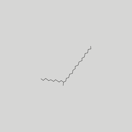 CCCCCCCCCCCCCCCCCCC(C)CCCCCCCCC